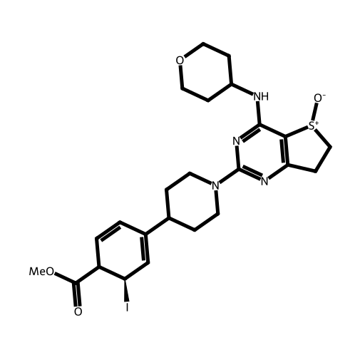 COC(=O)C1C=CC(C2CCN(c3nc4c(c(NC5CCOCC5)n3)[S+]([O-])CC4)CC2)=C[C@H]1I